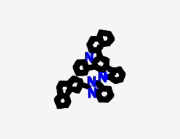 c1ccc2c(c1)ccc1ccc(-c3nc(-n4c5ccccc5c5cc6c7c8ccccc8ccc7n7c8ccccc8c(c54)c67)c4ccccc4n3)cc12